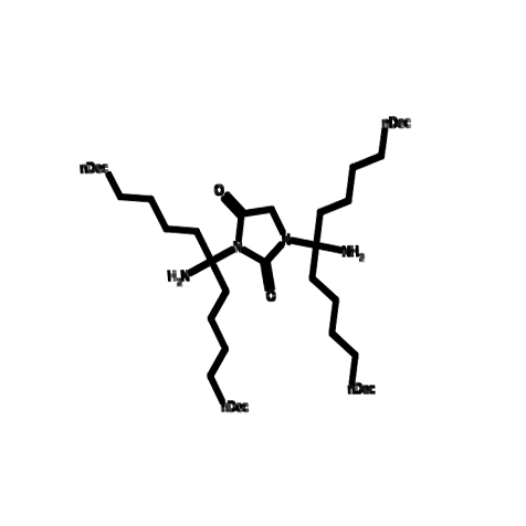 CCCCCCCCCCCCCCC(N)(CCCCCCCCCCCCCC)N1CC(=O)N(C(N)(CCCCCCCCCCCCCC)CCCCCCCCCCCCCC)C1=O